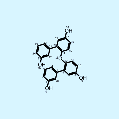 Oc1cccc(-c2cc(O)ccc2Oc2ccc(O)cc2-c2cccc(O)c2)c1